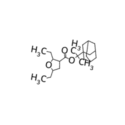 CCC1CC(C(=O)OC(C)(C)C23CC4CC(CC(C4)C2)C3)C(CC)O1